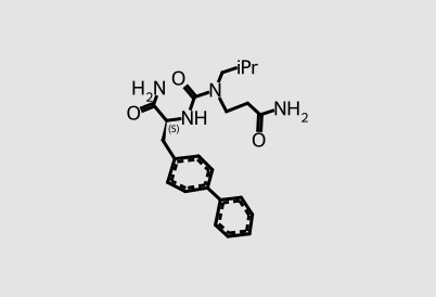 CC(C)CN(CCC(N)=O)C(=O)N[C@@H](Cc1ccc(-c2ccccc2)cc1)C(N)=O